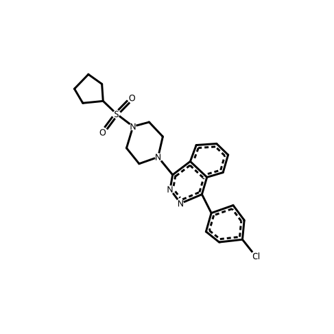 O=S(=O)(C1CCCC1)N1CCN(c2nnc(-c3ccc(Cl)cc3)c3ccccc23)CC1